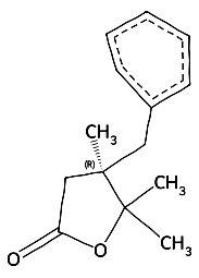 CC1(C)OC(=O)C[C@@]1(C)Cc1ccccc1